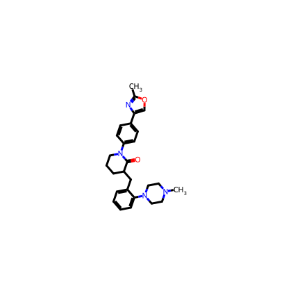 Cc1nc(-c2ccc(N3CCCC(Cc4ccccc4N4CCN(C)CC4)C3=O)cc2)co1